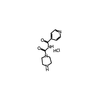 Cl.O=C(NC(=O)N1CCNCC1)c1ccncc1